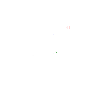 CCOC(=O)CC1CCN(C(=O)O)C[C@H]1F